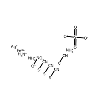 N#C[S-].N#C[S-].N#C[S-].N#C[S-].O=S(=O)([O-])[O-].O=[N+]([O-])[O-].[Ag+].[Fe+3].[NH4+].[NH4+].[NH4+]